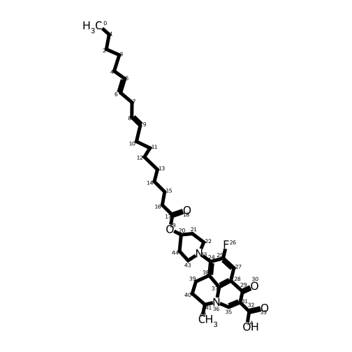 CCCCC/C=C/C/C=C/CCCCCCCC(=O)OC1CCN(c2c(F)cc3c(=O)c(C(=O)O)cn4c3c2CCC4C)CC1